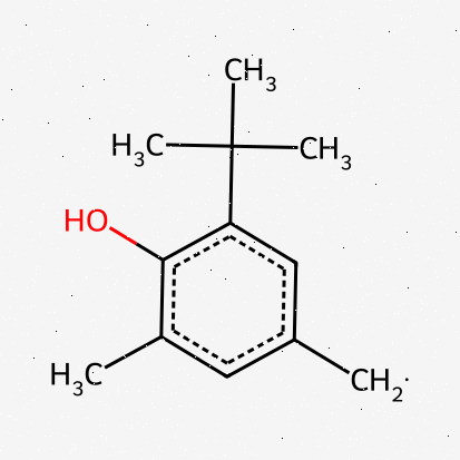 [CH2]c1cc(C)c(O)c(C(C)(C)C)c1